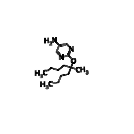 CCCCC(C)(CCCC)Oc1ncc(N)cn1